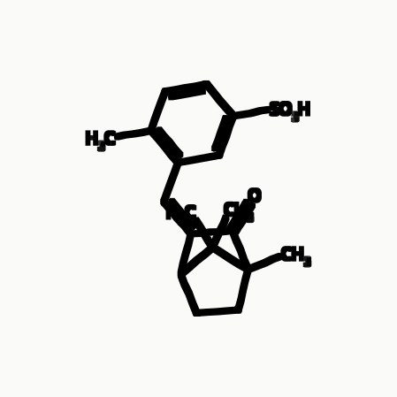 Cc1ccc(S(=O)(=O)O)cc1C=C1C(=O)C2(C)CCC1C2(C)C